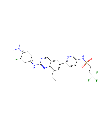 CCc1cc(-c2ccc(NS(=O)(=O)CCC(F)(F)F)cn2)cc2cnc(N[C@@H]3CC[C@@H](N(C)C)C(F)C3)nc12